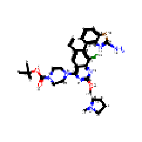 C=Cc1cc2c(N3CCN(C(=O)OC(C)(C)C)CC3)nc(OC[C@@H]3CCCN3C)nc2c(F)c1-c1cccc2sc(N)nc12